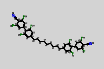 N#Cc1c(F)cc(-c2c(F)cc(CCCCCCCCCc3cc(F)c(-c4cc(F)c(C#N)c(F)c4)c(F)c3)cc2F)cc1F